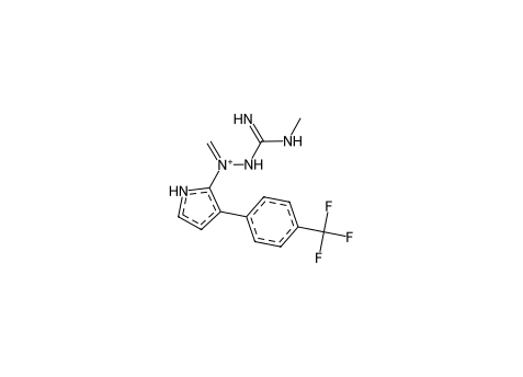 C=[N+](NC(=N)NC)c1[nH]ccc1-c1ccc(C(F)(F)F)cc1